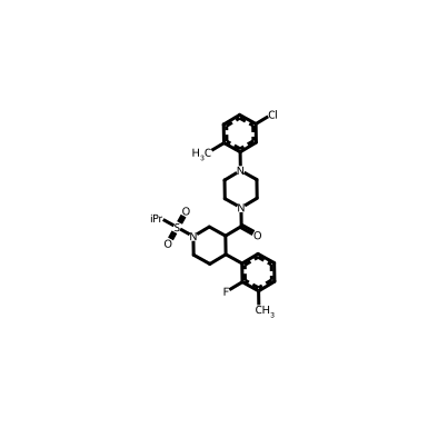 Cc1ccc(Cl)cc1N1CCN(C(=O)C2CN(S(=O)(=O)C(C)C)CCC2c2cccc(C)c2F)CC1